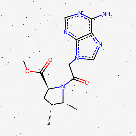 COC(=O)[C@@H]1C[C@@H](C)[C@@H](C)N1C(=O)Cn1cnc2c(N)ncnc21